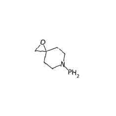 PN1CCC2(CC1)CO2